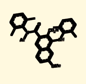 COc1ccc2cc(C(=O)N(C(C)=O)c3c(C)cccc3C)c(C(=O)O)c(Nc3c(C)cccc3C)c2c1